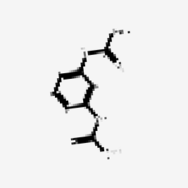 CCCC(C)C(=O)Oc1cccc(OC(=O)C(C)CCC)c1